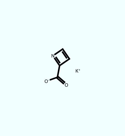 O=C([O-])C1=NC=C1.[K+]